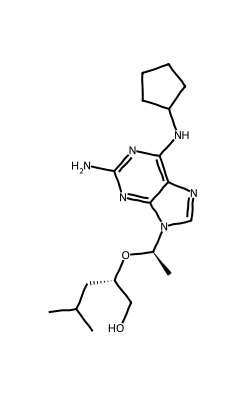 CC(C)C[C@@H](CO)O[C@H](C)n1cnc2c(NC3CCCC3)nc(N)nc21